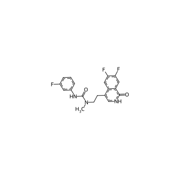 CN(CCc1c[nH]c(=O)c2cc(F)c(F)cc12)C(=O)Nc1cccc(F)c1